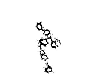 Nc1ncccc1-c1nc2ccc(-c3ccccc3)nc2n1-c1ccc(CN2CCC3(CC2)CCN(c2ccncn2)CC3)cc1